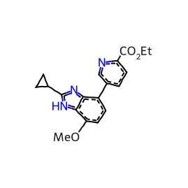 CCOC(=O)c1ccc(-c2ccc(OC)c3[nH]c(C4CC4)nc23)cn1